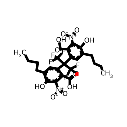 CCCCc1cc(C(c2cc(CCCC)c(O)c([N+](=O)[O-])c2C(=O)O)(C(F)(F)F)C(F)(F)F)c(C(=O)O)c([N+](=O)[O-])c1O